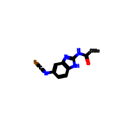 COC(=O)Nc1nc2cc(N=C=S)ccc2[nH]1